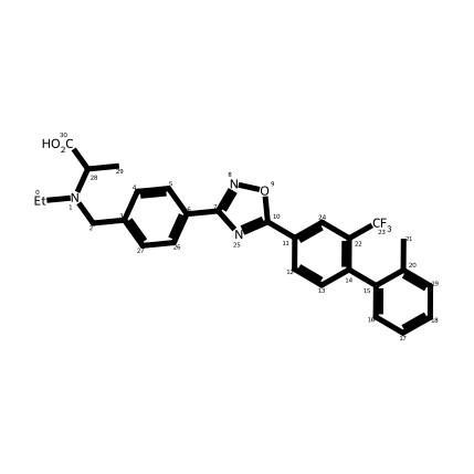 CCN(Cc1ccc(-c2noc(-c3ccc(-c4ccccc4C)c(C(F)(F)F)c3)n2)cc1)C(C)C(=O)O